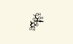 CC#C[C@@]1(F)C(O)[C@@H]([C@@H](C)O)O[C@H]1n1c(C)cc(=O)[nH]c1=O